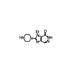 CCn1c(N2CCNCC2)nc2cn[nH]c(=O)c21